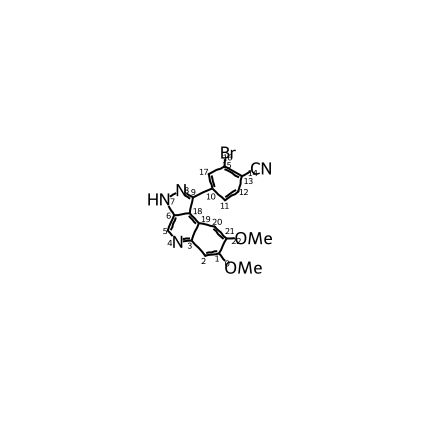 COc1cc2ncc3[nH]nc(-c4ccc(C#N)c(Br)c4)c3c2cc1OC